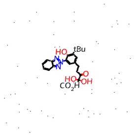 CC(C)(C)c1cc(CCC(=O)C(O)(O)C(=O)O)cc(-n2nc3ccccc3n2)c1O